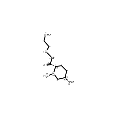 CNCCONC(=O)[C@@H]1CC[C@@H](NC)CN1C